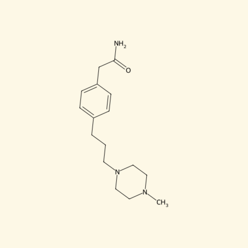 CN1CCN(CCCc2ccc(CC(N)=O)cc2)CC1